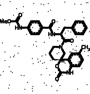 COC(=O)Nc1ccc(C(=O)NC(Cc2ccccc2)C(=O)N2CCC[C@@]3(C2)OC(=O)Nc2ccc(C)cc23)cc1